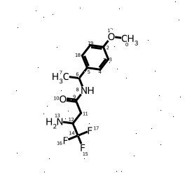 COc1ccc(C(C)NC(=O)CC(N)C(F)(F)F)cc1